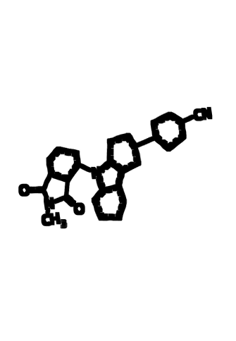 CN1C(=O)c2cccc(-n3c4ccccc4c4cc(-c5ccc(C#N)cc5)ccc43)c2C1=O